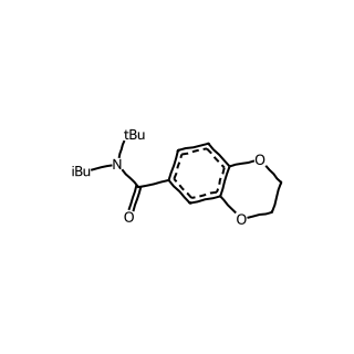 CCC(C)N(C(=O)c1ccc2c(c1)OCCO2)C(C)(C)C